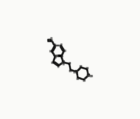 CC(C)(C)c1ccc2c(ccn2CCN2CCOCC2)c1